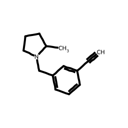 C#Cc1cccc(CN2CCCC2C)c1